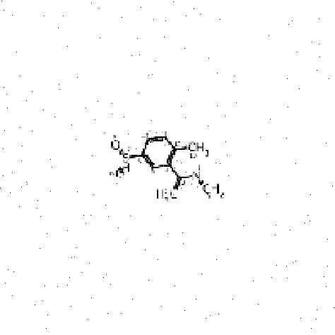 C=NC(=C)c1cc([SH](=O)=O)ccc1C